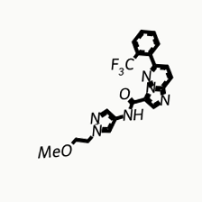 COCCn1cc(NC(=O)c2cnc3ccc(-c4ccccc4C(F)(F)F)nn23)cn1